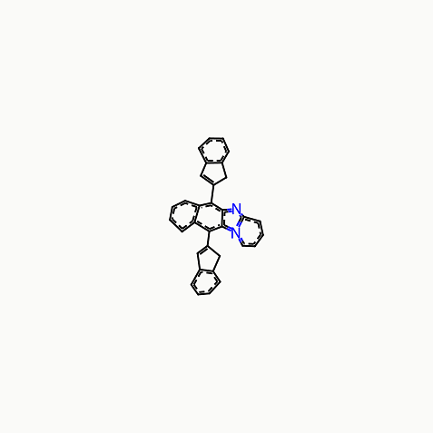 C1=C(c2c3ccccc3c(C3=Cc4ccccc4C3)c3c2nc2ccccn23)Cc2ccccc21